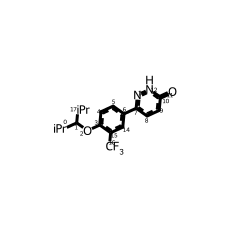 CC(C)C(Oc1ccc(-c2ccc(=O)[nH]n2)cc1C(F)(F)F)C(C)C